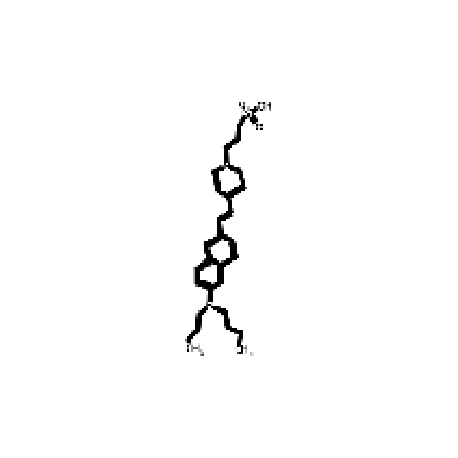 CCCCN(CCCC)c1ccc2cc(C=CC3=CCN(CCCS(=O)(=O)O)C=C3)ccc2c1